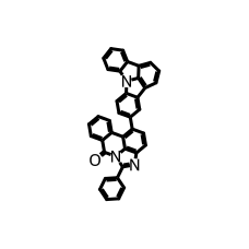 O=c1c2ccccc2c2c(-c3ccc4c(c3)c3cccc5c6ccccc6n4c53)ccc3nc(-c4ccccc4)n1c32